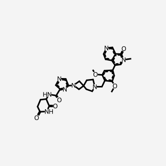 COc1cc(-c2cn(C)c(=O)c3cnccc23)cc(OC)c1CN1CCC2(CC1)CN(c1cncc(C(=O)NC3CCC(=O)NC3=O)n1)C2